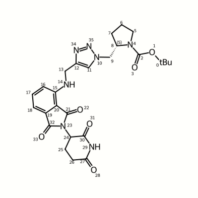 CC(C)(C)OC(=O)N1CCC[C@H]1Cn1cc(CNc2cccc3c2C(=O)N(C2CCC(=O)NC2=O)C3=O)nn1